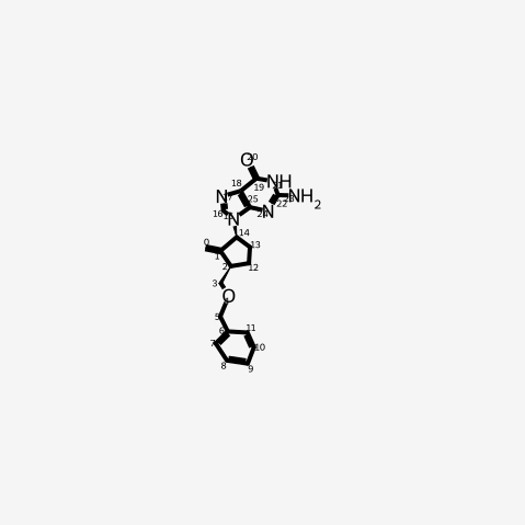 C=C1[C@H](COCc2ccccc2)CC[C@@H]1n1cnc2c(=O)[nH]c(N)nc21